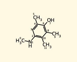 CNc1cc(C)c(O)c(C)c1C